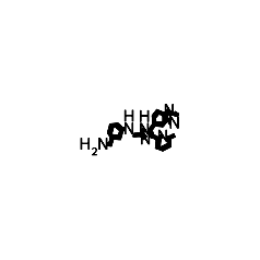 Cc1cccc(-c2nc(CNc3cccc(CN)c3)[nH]c2-c2ccc3ncnn3c2)n1